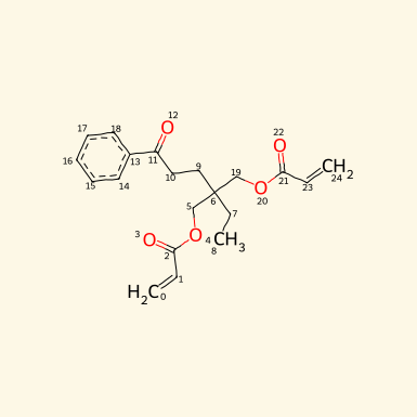 C=CC(=O)OCC(CC)(CCC(=O)c1ccccc1)COC(=O)C=C